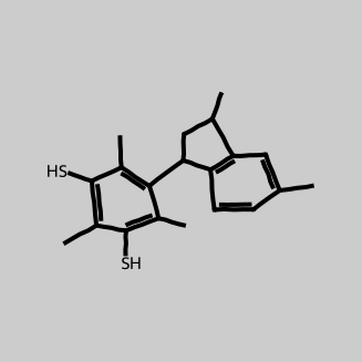 Cc1ccc2c(c1)C(C)CC2c1c(C)c(S)c(C)c(S)c1C